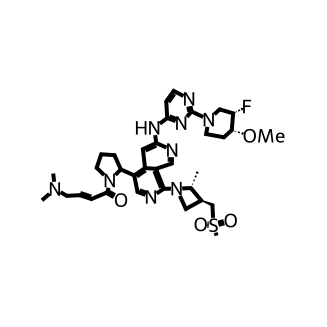 CO[C@@H]1CCN(c2nccc(Nc3cc4c(C5CCCN5C(=O)/C=C/CN(C)C)cnc(N5C[C@H](CS(C)(=O)=O)[C@H]5C)c4cn3)n2)C[C@@H]1F